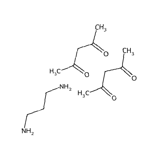 CC(=O)CC(C)=O.CC(=O)CC(C)=O.NCCCN